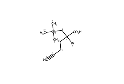 C#CCCC(Br)(C[Si](C)(C)C)C(=O)O